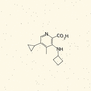 Cc1c(C2CC2)cnc(C(=O)O)c1NC1CCC1